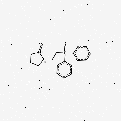 S=[PH]1CCC[C@H]1CCP(=S)(c1ccccc1)c1ccccc1